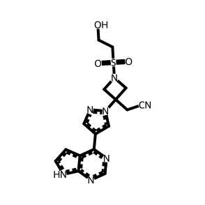 N#CCC1(n2cc(-c3ncnc4[nH]ccc34)cn2)CN(S(=O)(=O)CCO)C1